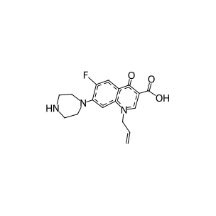 C=CCn1cc(C(=O)O)c(=O)c2cc(F)c(N3CCNCC3)cc21